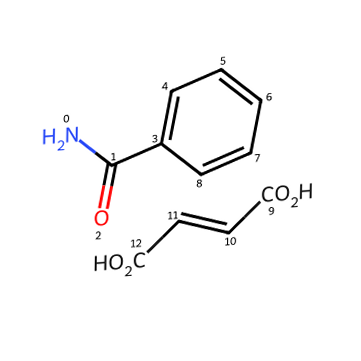 NC(=O)c1ccccc1.O=C(O)/C=C/C(=O)O